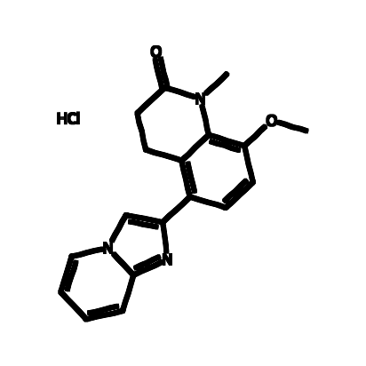 COc1ccc(-c2cn3ccccc3n2)c2c1N(C)C(=O)CC2.Cl